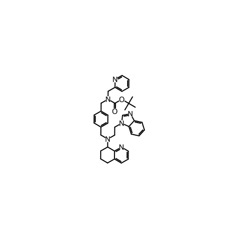 CC(C)(C)OC(=O)N(Cc1ccc(CN(CCn2cnc3ccccc32)C2CCCc3cccnc32)cc1)Cc1ccccn1